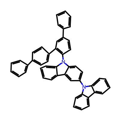 c1ccc(-c2ccc(-c3cc(-c4ccccc4)ccc3-n3c4ccccc4c4cc(-n5c6ccccc6c6ccccc65)ccc43)cc2)cc1